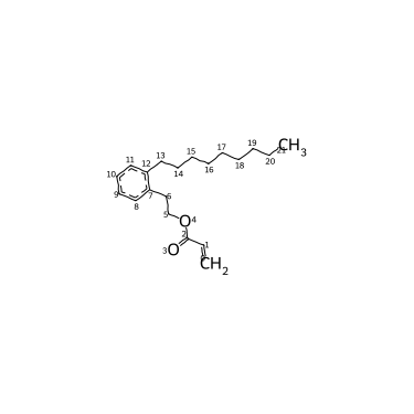 C=CC(=O)OCCc1ccccc1CCCCCCCCC